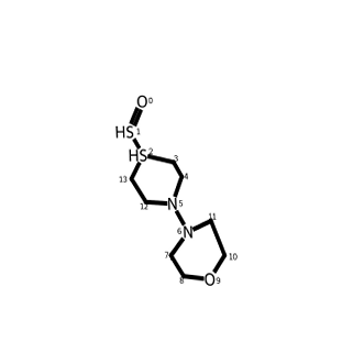 O=[SH][SH]1CCN(N2[CH]COCC2)CC1